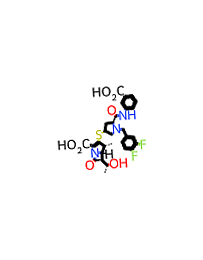 C[C@@H](O)[C@H]1C(=O)N2C(C(=O)O)=C(S[C@H]3C[C@@H](C(=O)Nc4cccc(C(=O)O)c4)N(Cc4ccc(F)c(F)c4)C3)[C@H](C)[C@H]12